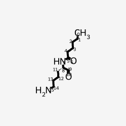 CCCCCC(=O)N[C@H]([C]=O)CCCCN